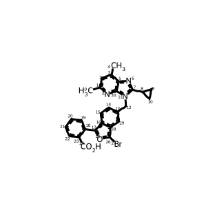 Cc1cc(C)c2nc(C3CC3)n(Cc3ccc4c(-c5ccccc5C(=O)O)oc(Br)c4c3)c2n1